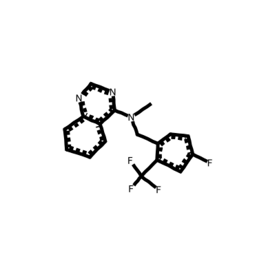 CN(Cc1ccc(F)cc1C(F)(F)F)c1ncnc2ccccc12